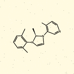 Cc1ccncc1N1C=CN(c2c(C)cccc2C)[C@H]1C